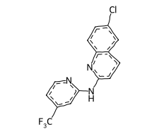 FC(F)(F)c1ccnc(Nc2ccc3cc(Cl)ccc3n2)c1